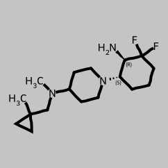 CN(CC1(C)CC1)C1CCN([C@H]2CCCC(F)(F)[C@@H]2N)CC1